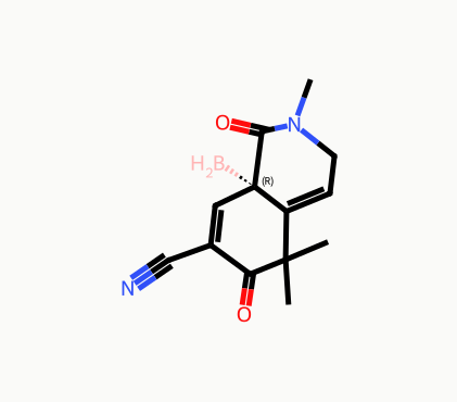 B[C@@]12C=C(C#N)C(=O)C(C)(C)C1=CCN(C)C2=O